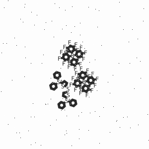 Fc1c(F)c(F)c([B-](c2c(F)c(F)c(F)c(F)c2F)(c2c(F)c(F)c(F)c(F)c2F)c2c(F)c(F)c(F)c(F)c2F)c(F)c1F.Fc1c(F)c(F)c([B-](c2c(F)c(F)c(F)c(F)c2F)(c2c(F)c(F)c(F)c(F)c2F)c2c(F)c(F)c(F)c(F)c2F)c(F)c1F.c1ccc([S+](c2ccccc2)c2ccc(Sc3ccc([S+](c4ccccc4)c4ccccc4)s3)s2)cc1